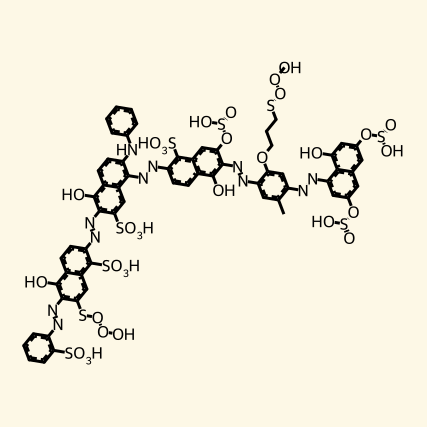 Cc1cc(N=Nc2c(OS(=O)O)cc3c(S(=O)(=O)O)c(N=Nc4c(Nc5ccccc5)ccc5c(O)c(N=Nc6ccc7c(O)c(N=Nc8ccccc8S(=O)(=O)O)c(SOOO)cc7c6S(=O)(=O)O)c(S(=O)(=O)O)cc45)ccc3c2O)c(OCCCSOOO)cc1N=Nc1cc(OS(=O)O)cc2cc(OS(=O)O)cc(O)c12